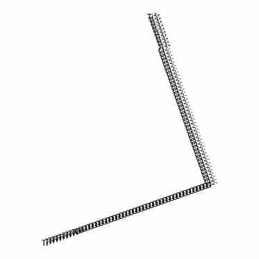 [O-2].[O-2].[O-2].[O-2].[O-2].[O-2].[O-2].[O-2].[O-2].[O-2].[O-2].[O-2].[O-2].[O-2].[O-2].[O-2].[O-2].[O-2].[O-2].[O-2].[O-2].[O-2].[O-2].[O-2].[O-2].[O-2].[O-2].[O-2].[O-2].[O-2].[O-2].[O-2].[O-2].[O-2].[O-2].[O-2].[O-2].[O-2].[O-2].[O-2].[O-2].[O-2].[O-2].[O-2].[O-2].[O-2].[O-2].[O-2].[O-2].[O-2].[O-2].[O-2].[O-2].[O-2].[O-2].[O-2].[O-2].[O-2].[O-2].[O-2].[O-2].[O-2].[O-2].[O-2].[O-2].[O-2].[O-2].[O-2].[O-2].[O-2].[O-2].[O-2].[O-2].[O-2].[O-2].[O-2].[O-2].[O-2].[O-2].[O-2].[Ti+4].[Ti+4].[Ti+4].[Ti+4].[Ti+4].[Ti+4].[Ti+4].[Ti+4].[Ti+4].[Ti+4].[Ti+4].[Ti+4].[Ti+4].[Ti+4].[Ti+4].[Ti+4].[Ti+4].[Ti+4].[Ti+4].[Ti+4]